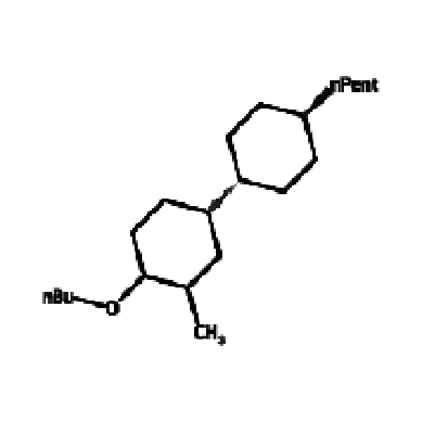 CCCCC[C@H]1CC[C@H](C2CCC(OCCCC)C(C)C2)CC1